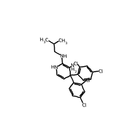 CC(C)CNC1=C(N)C(c2ccc(Cl)cc2Cl)(c2ccc(Cl)cc2Cl)C=CN1